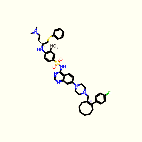 CN(C)CC[C@H](CSc1ccccc1)Nc1ccc(S(=O)(=O)Nc2ncnc3cc(N4CCN(C/C5=C(\c6ccc(Cl)cc6)CCCCCC5)CC4)ccc23)cc1[N+](=O)[O-]